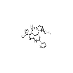 CC(C)[S+]([O-])c1sc2nc(-c3cccs3)cc(-c3nccn3C)c2c1N